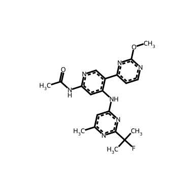 COc1nccc(-c2cnc(NC(C)=O)cc2Nc2cc(C)nc(C(C)(C)F)n2)n1